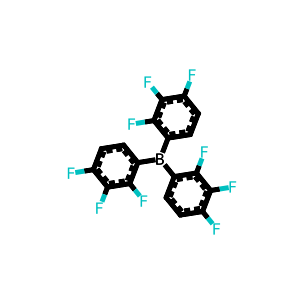 Fc1ccc(B(c2ccc(F)c(F)c2F)c2ccc(F)c(F)c2F)c(F)c1F